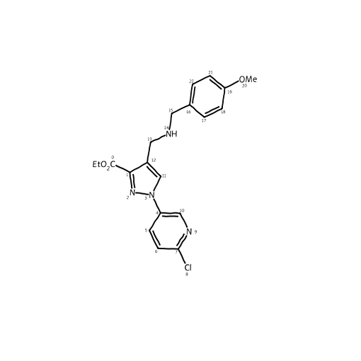 CCOC(=O)c1nn(-c2ccc(Cl)nc2)cc1CNCc1ccc(OC)cc1